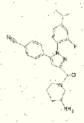 CC(C)c1ccc(-n2nc(C(=O)N3CCCC(N)C3)cc2-c2ccc(C#N)cc2)c(F)c1